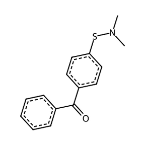 CN(C)Sc1ccc(C(=O)c2ccccc2)cc1